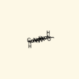 CCCCC(=O)Nc1ccc(N=Nc2nc3sc(N=Nc4ccc(NC(C)=O)cc4)cc3s2)cc1